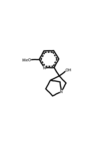 COc1cccc(C2(O)CN3CCC2C3)n1